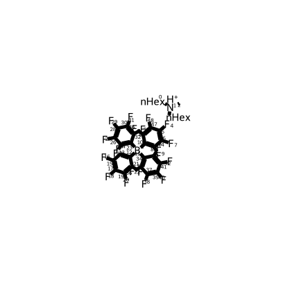 CCCCCC[NH+](C)CCCCCC.Fc1c(F)c(F)c([B-](c2c(F)c(F)c(F)c(F)c2F)(c2c(F)c(F)c(F)c(F)c2F)c2c(F)c(F)c(F)c(F)c2F)c(F)c1F